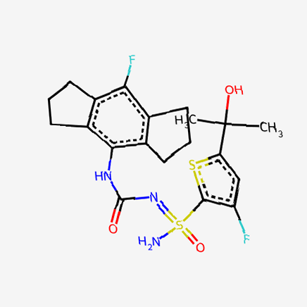 CC(C)(O)c1cc(F)c(S(N)(=O)=NC(=O)Nc2c3c(c(F)c4c2CCC4)CCC3)s1